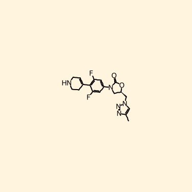 Cc1cn(C[C@H]2CN(c3cc(F)c(C4=CCNCC4)c(F)c3)C(=O)O2)nn1